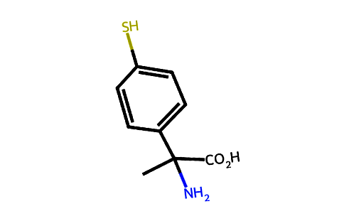 CC(N)(C(=O)O)c1ccc(S)cc1